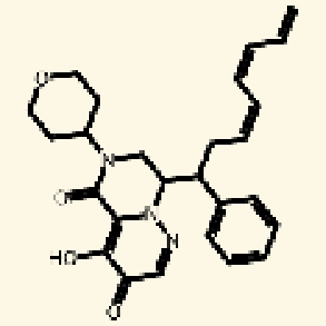 C=C/C=C\C=C/CC(c1ccccc1)C1CN(C2CCOCC2)C(=O)c2c(O)c(=O)cnn21